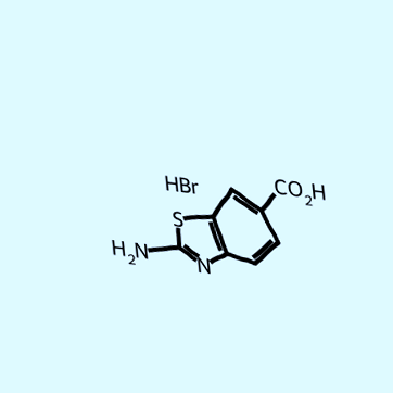 Br.Nc1nc2ccc(C(=O)O)cc2s1